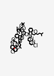 CC(C)(C)OC(=O)c1ncn2c1[C@@H]1CCCN1C(=O)c1c(Br)cccc1-2.CC(C)CCC(=O)CC1c2ccccc2C(=O)N1c1ccc2ccc(Cl)nc2n1.CC1=CC(=O)N2CC(=O)N(C)c3ccc(Cl)cc3C2(c2ccccc2)O1